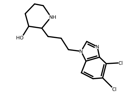 OC1CCCNC1CCCn1cnc2c(Cl)c(Cl)ccc21